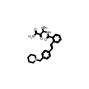 CCCCC(NC(=O)c1ccccc1C=Cc1ccc(CN2CCCCC2)cc1)C(=O)C(N)=O